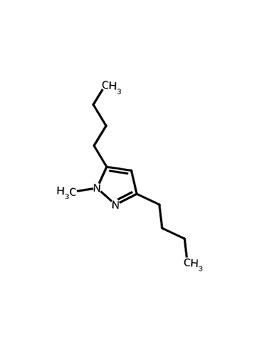 CCCCc1cc(CCCC)n(C)n1